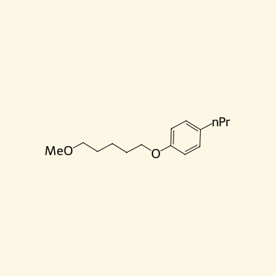 CCCc1ccc(OCCCCCOC)cc1